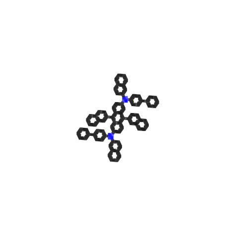 c1ccc(-c2ccc(N(c3ccc4ccccc4c3)c3ccc4c(-c5ccc6ccccc6c5)c5cc(N(c6ccc(-c7ccccc7)cc6)c6ccc7ccccc7c6)ccc5c(-c5ccc6ccccc6c5)c4c3)cc2)cc1